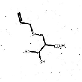 C=CCSCC(C(=O)O)N(S)C(C)=O